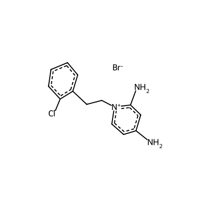 Nc1cc[n+](CCc2ccccc2Cl)c(N)c1.[Br-]